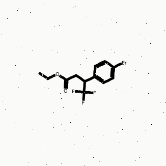 CCOC(=O)CC(c1ccc(Br)cc1)C(F)(F)F